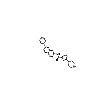 O=C(Nc1cc2cc(-c3cccnc3)ccc2cn1)c1coc(C2CCNCC2)n1